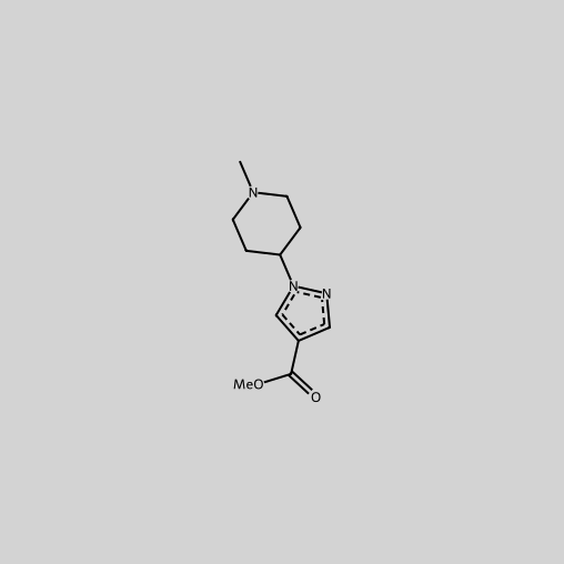 COC(=O)c1cnn(C2CCN(C)CC2)c1